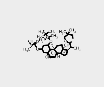 CC(C1OCC(C)(C)CO1)[C@H]1CC[C@H]2[C@@H]3C=CC4(O)CC(OC(=O)N(C)C)CC(O[Si](C)(C)C(C)(C)C)[C@]4(C)[C@H]3CC[C@]12C